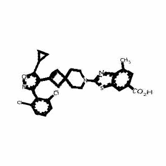 Cc1cc(C(=O)O)cc2sc(N3CCC4(C=C(c5c(-c6c(Cl)cccc6Cl)noc5C5CC5)C4)CC3)nc12